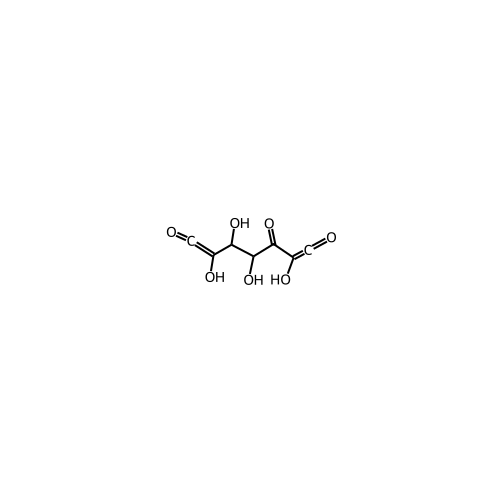 O=C=C(O)C(=O)C(O)C(O)C(O)=C=O